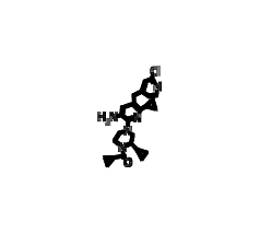 Nc1cc(Cc2ccnc(Cl)c2)c(C2CC2)nc1N1CCN(C(=O)C2CC2)[C@H](C2CC2)C1